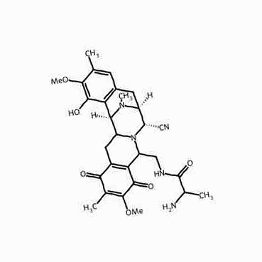 COC1=C(C)C(=O)C2=C(C1=O)C(CNC(=O)C(C)N)N1C(C2)[C@H]2c3c(cc(C)c(OC)c3O)C[C@@H]([C@@H]1C#N)N2C